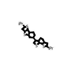 CC(C)c1cc2sc3cc(-c4csc5c4ccc4cc(C(C)C)sc45)ccc3c2s1